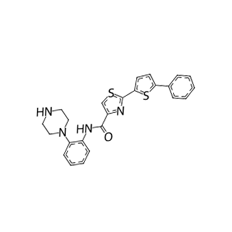 O=C(Nc1ccccc1N1CCNCC1)c1csc(-c2ccc(-c3ccccc3)s2)n1